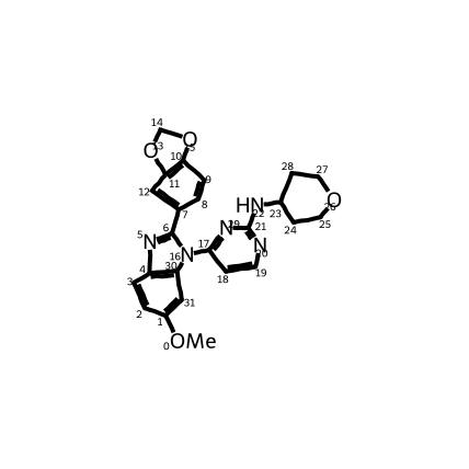 COc1ccc2nc(-c3ccc4c(c3)OCO4)n(-c3ccnc(NC4CCOCC4)n3)c2c1